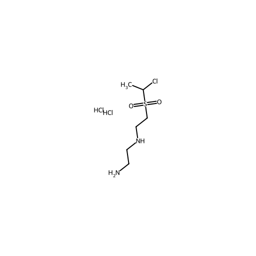 CC(Cl)S(=O)(=O)CCNCCN.Cl.Cl